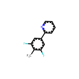 Fc1cc(-c2ccccn2)cc(F)c1C(F)(F)F